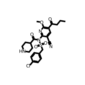 CCCC(=O)c1cc(C#N)c(N(C(=O)C2CCNCC2)S(=O)(=O)Cc2ccc(Cl)cc2)nc1OC